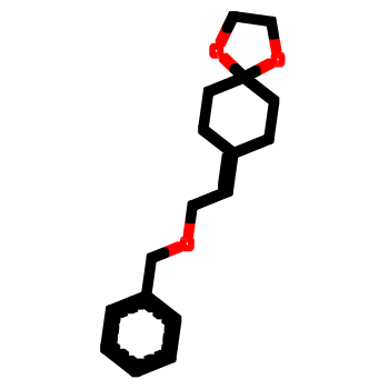 C(COCc1ccccc1)=C1CCC2(CC1)OCCO2